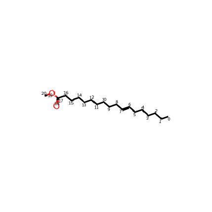 CCCCCCC=CCCCCCCCCCC(=O)OC